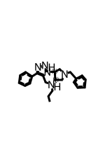 CCCN1Cc2c(-c3ccccc3)nnn2[C@H]2CN(Cc3ccccc3)C[C@H]21